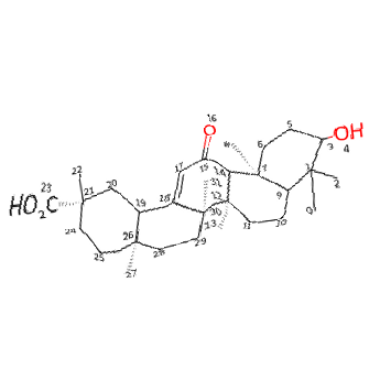 CC1(C)C(O)CC[C@@]2(C)C1CC[C@]1(C)C2C(=O)C=C2C3C[C@@](C)(C(=O)O)CC[C@]3(C)CC[C@@]21C